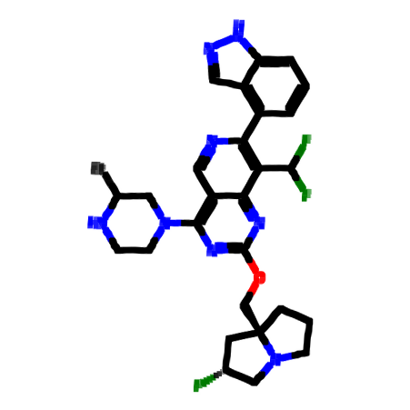 CCC1CN(c2nc(OC[C@@]34CCCN3C[C@H](F)C4)nc3c(C(F)F)c(-c4cccc5[nH]ncc45)ncc23)CCN1